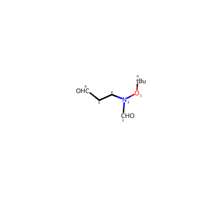 CC(C)(C)ON(C=O)CCC=O